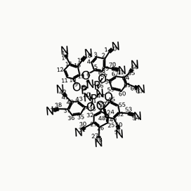 N#Cc1ccc(ON2P(Oc3ccc(C#N)c(C#N)c3)N=P(Oc3ccc(C#N)c(C#N)c3)(Oc3ccc(C#N)c(C#N)c3)N(Oc3ccc(C#N)c(C#N)c3)P2Oc2ccc(C#N)c(C#N)c2)cc1C#N